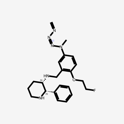 C=N/N=N\N(C)c1ccc(OCCF)c(CN[C@H]2CCCN[C@H]2c2ccccc2)c1